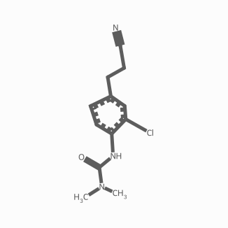 CN(C)C(=O)Nc1ccc(CCC#N)cc1Cl